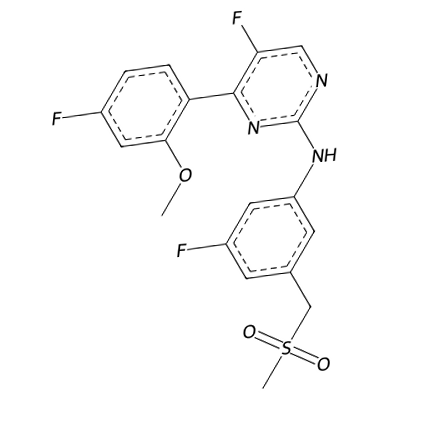 COc1cc(F)ccc1-c1nc(Nc2cc(F)cc(CS(C)(=O)=O)c2)ncc1F